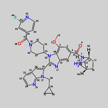 COc1cc(C(=O)N2C[C@H]3CC[C@@H]2[C@@H]3N)cc2nc(-c3cc4cccnc4n3CC3CC3)n(C3CCN(C(=O)c4ccnc(F)c4)CC3)c12